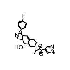 CC([C@H]1CCC2=Cc3c(cnn3-c3ccc(F)cc3)C[C@]2(CO)C1)S(=O)(=O)c1cnn(C)c1